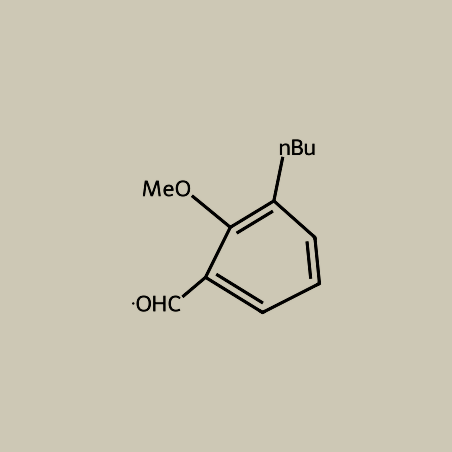 CCCCc1cccc([C]=O)c1OC